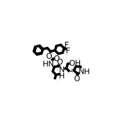 CC(C)CC(NC(=O)OC(Cc1ccccc1)C1CCC(F)(F)CC1)C(=O)NC(CO)C[C@@H]1CCNC1=O